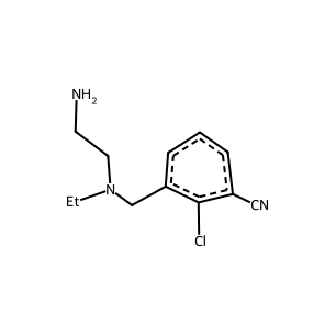 CCN(CCN)Cc1cccc(C#N)c1Cl